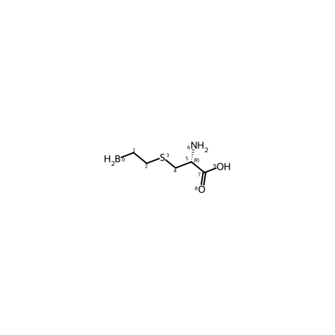 BCCSC[C@H](N)C(=O)O